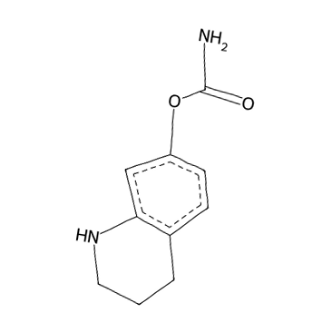 NC(=O)Oc1ccc2c(c1)NCCC2